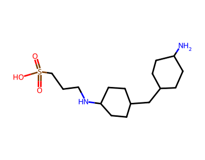 NC1CCC(CC2CCC(NCCCS(=O)(=O)O)CC2)CC1